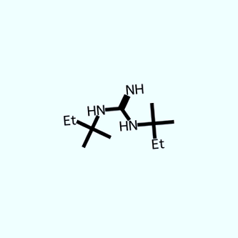 CCC(C)(C)NC(=N)NC(C)(C)CC